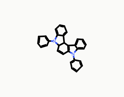 C1=CC2C(c3ccccc3N2c2ccccc2)c2c1n(-c1ccccc1)c1ccccc21